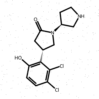 O=C1C[C@@H](c2c(O)ccc(Cl)c2Cl)CN1[C@H]1CCNC1